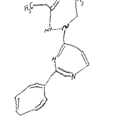 CCN(NC(C)=O)c1c[c]nc(-c2ccccc2)n1